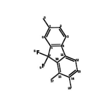 Cc1ccc2c(c1)C(F)(F)c1c-2ccc(C)c1C